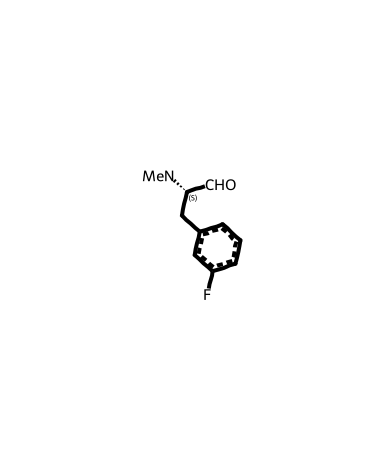 CN[C@H](C=O)Cc1cccc(F)c1